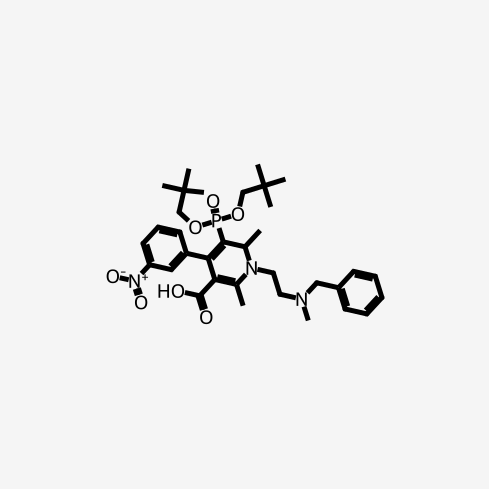 CC1=C(C(=O)O)C(c2cccc([N+](=O)[O-])c2)=C(P(=O)(OCC(C)(C)C)OCC(C)(C)C)C(C)N1CCN(C)Cc1ccccc1